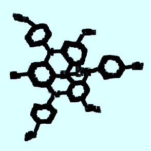 CC(C)(C)c1ccc(Nc2cc(C(C)(C)C)cc3c2[Si]2(C)c4ccc(C(C)(C)C)cc4N(c4ccc(C(C)(C)C)cc4)c4cc(C(C)(C)C)cc(c42)N3c2ccc(C(C)(C)C)cc2)cc1